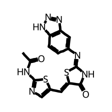 CC(=O)Nc1ncc(C=C2SC(=Nc3ccc4[nH]nnc4c3)NC2=O)s1